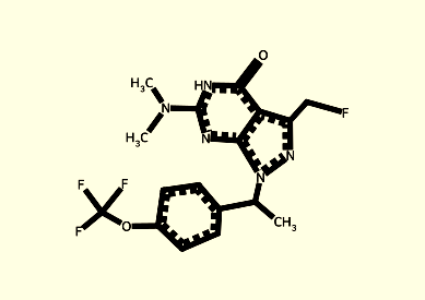 CC(c1ccc(OC(F)(F)F)cc1)n1nc(CF)c2c(=O)[nH]c(N(C)C)nc21